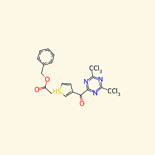 O=C(C[SH]1C=CC(C(=O)c2nc(C(Cl)(Cl)Cl)nc(C(Cl)(Cl)Cl)n2)=C1)OCc1ccccc1